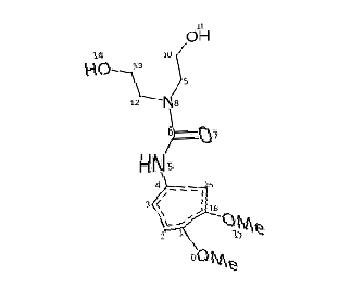 COc1ccc(NC(=O)N(CCO)CCO)cc1OC